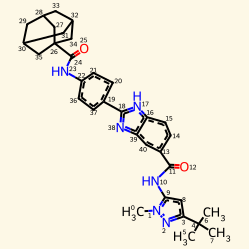 Cn1nc(C(C)(C)C)cc1NC(=O)c1ccc2[nH]c(-c3ccc(NC(=O)C45CC6CC(CC(C6)C4)C5)cc3)nc2c1